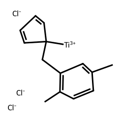 Cc1ccc(C)c(C[C]2([Ti+3])C=CC=C2)c1.[Cl-].[Cl-].[Cl-]